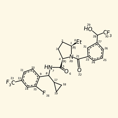 CC[C@@H]1CC[C@H](C(=O)NC(c2ccc(C(F)(F)F)cc2F)C2CC2)N1C(=O)c1cccc(C(O)C(F)(F)F)c1